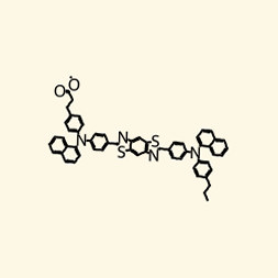 CCCc1ccc(N(c2ccc(-c3nc4cc5sc(-c6ccc(N(c7ccc(CCC(=O)OC)cc7)c7cccc8ccccc78)cc6)nc5cc4s3)cc2)c2cccc3ccccc23)cc1